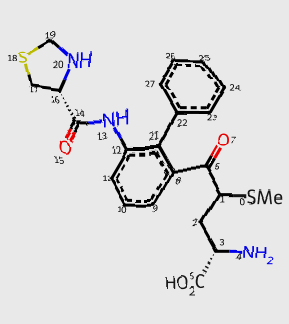 CSC(C[C@H](N)C(=O)O)C(=O)c1cccc(NC(=O)[C@@H]2CSCN2)c1-c1ccccc1